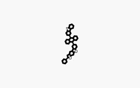 c1ccc(-c2cc3cc4c(cc3o2)oc2ccc(-c3c5ccccc5c(-c5ccc6sc7ccccc7c6c5)c5ccccc35)cc24)cc1